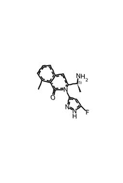 Cc1cccc2cc([C@H](C)N)n(-c3cc(F)[nH]n3)c(=O)c12